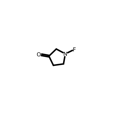 O=C1CCN(F)C1